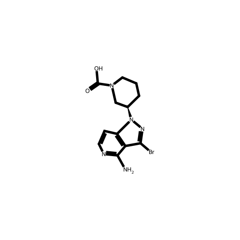 Nc1nccc2c1c(Br)nn2[C@@H]1CCCN(C(=O)O)C1